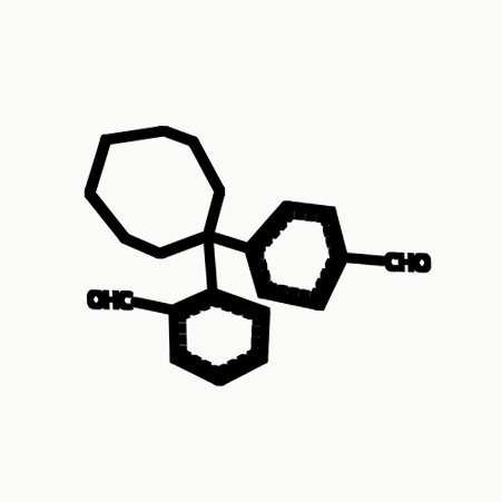 O=Cc1ccc(C2(c3ccccc3C=O)CCCCCCC2)cc1